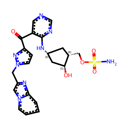 NS(=O)(=O)OC[C@H]1C[C@@H](Nc2ncncc2C(=O)c2ccn(Cc3cn4ccccc4n3)n2)C[C@@H]1O